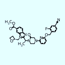 COC(=O)c1ccc2nc([C@H](C)N3CCN(c4cccc(OCc5ccc(C#N)cc5F)n4)CC3=O)n(C[C@@H]3CCO3)c2c1